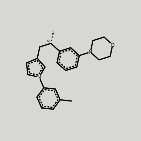 Cc1cccc(-n2ccc(C[C@H](C)c3cccc(N4CCOCC4)c3)c2)c1